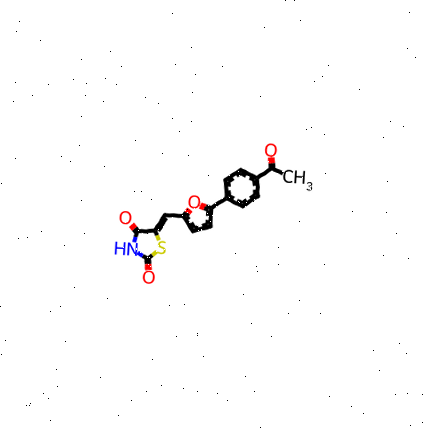 CC(=O)c1ccc(-c2ccc(/C=C3\SC(=O)NC3=O)o2)cc1